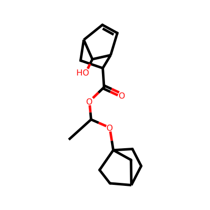 CC(OC(=O)C1CC2C=CC1C2O)OC12CCC(CC1)C2